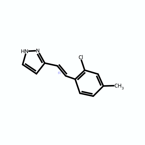 Cc1ccc(/C=C/c2cc[nH]n2)c(Cl)c1